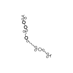 C=C(C)C(=O)OCCCOC1CCC(C(=O)OCCCCCCOc2ccc(CCC(=O)Oc3ccc(-c4ccc(OC(=O)C(=C)C)cc4)cc3)cc2)CC1